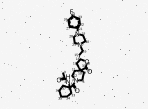 CC(=O)NC1(C(=O)N2CCC3(CC2)C[C@H](CCN2CCN(c4ccc(F)cc4)CC2)OC3=O)CCCCC1